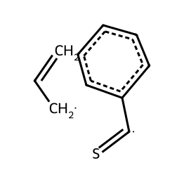 S=[C]c1ccccc1.[CH2]C=C